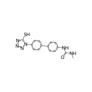 CNC(=O)Nc1ccc(-c2ccc(-n3nnnc3S)cc2)cc1